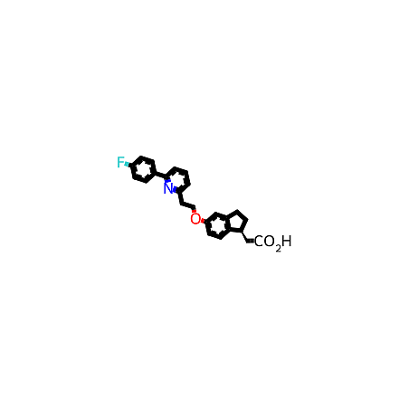 O=C(O)C[C@@H]1CCc2cc(OCCc3cccc(-c4ccc(F)cc4)n3)ccc21